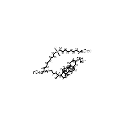 CC(C)CCCC(C)[C@H]1CC[C@H]2[C@@H]3CC=C4C[C@@H](O)CC[C@]4(C)[C@H]3CC[C@]12C.CCCCCCCCCCCCCCCCCC[N+](C)(C)CCCCCCCCCCCCCCCCCC.[Br-]